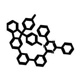 Cc1ccc(C2(c3ccc(C)cc3)c3ccccc3-c3ccc(-c4cccc(-c5cccc(-c6nc(-c7ccccc7)nc(-c7ccccc7)n6)c5)c4)cc32)cc1